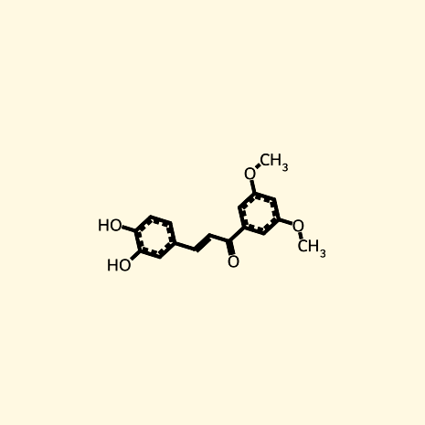 COc1cc(OC)cc(C(=O)/C=C/c2ccc(O)c(O)c2)c1